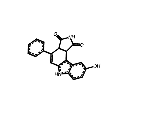 O=C1NC(=O)C2c3c([nH]c4ccc(O)cc34)C=C(c3ccccc3)C12